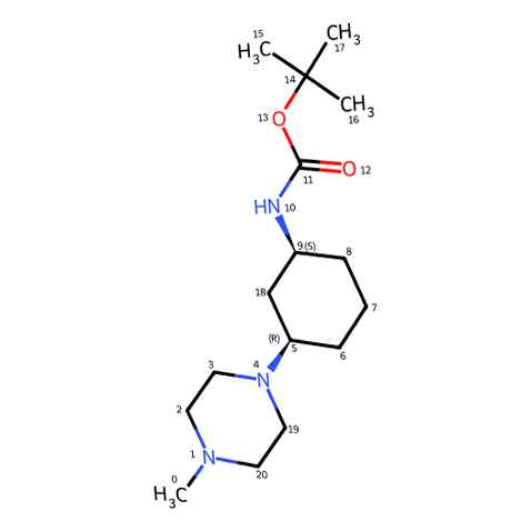 CN1CCN([C@@H]2CCC[C@H](NC(=O)OC(C)(C)C)C2)CC1